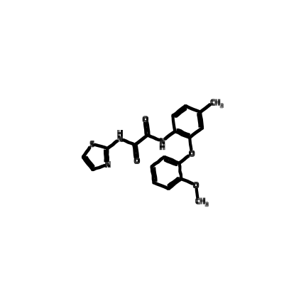 COc1ccccc1Oc1cc(C)ccc1NC(=O)C(=O)Nc1nccs1